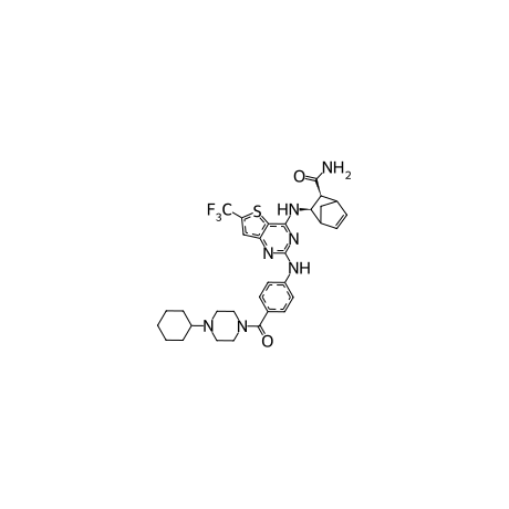 NC(=O)[C@H]1C2C=CC(C2)[C@H]1Nc1nc(Nc2ccc(C(=O)N3CCN(C4CCCCC4)CC3)cc2)nc2cc(C(F)(F)F)sc12